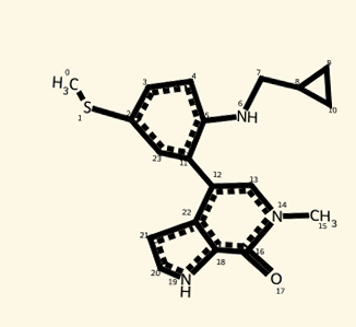 CSc1ccc(NCC2CC2)c(-c2cn(C)c(=O)c3[nH]ccc23)c1